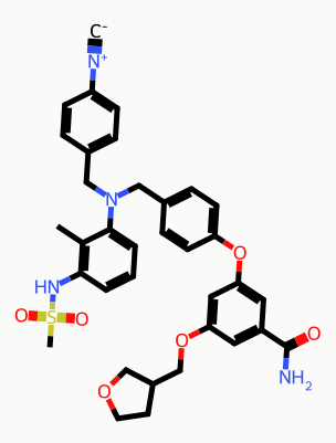 [C-]#[N+]c1ccc(CN(Cc2ccc(Oc3cc(OCC4CCOC4)cc(C(N)=O)c3)cc2)c2cccc(NS(C)(=O)=O)c2C)cc1